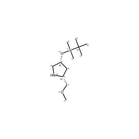 COC[C@H]1C[C@@H](O[Si](C)(C)C(C)(C)C)CN1